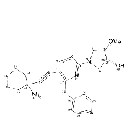 COC1CN(c2ccc(C#CC3(N)CCCCC3)c(Cc3ccccc3)n2)C[C@H]1O